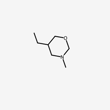 CCC1COCN(C)C1